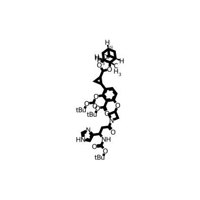 CC(C)(C)OC(=O)NC(CC(=O)N1CC(Oc2ccc(C3CC3C3O[C@@H]4C[C@@H]5C[C@@H](C5(C)C)[C@]4(C)O3)c(OC(=O)OC(C)(C)C)c2C(=O)OC(C)(C)C)C1)c1c[nH]cn1